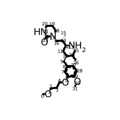 COCCCOc1cc(C[C@@H](C[C@H](N)[C@@H](C)CN2CCCNC2=O)C(C)C)ccc1OC